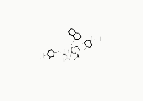 CN(C(=O)NCc1ccc(Cl)c(Cl)c1)N1CC(=O)N2[C@@H](Cc3ccc(N)cc3)C(=O)N(Cc3cccc4ccccc34)C[C@@H]21